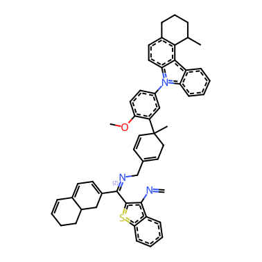 C=Nc1c(/C(=N\CC2=CCC(C)(c3cc(-n4c5ccccc5c5c6c(ccc54)CCCC6C)ccc3OC)C=C2)C2=CC=C3C=CCCC3C2)sc2ccccc12